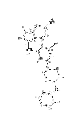 Cc1cc(N2CCC(Oc3ccccn3)CC2)ncc1-c1cc(OCC(C)C)cn2ncc(C#N)c12